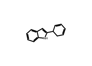 C1=CCC(c2cc3ccccc3[nH]2)C=C1